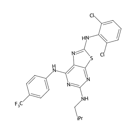 CC(C)CNc1nc(Nc2ccc(C(F)(F)F)cc2)c2nc(Nc3c(Cl)cccc3Cl)sc2n1